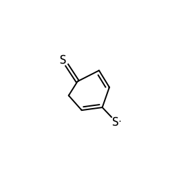 [S]C1=CCC(=S)C=C1